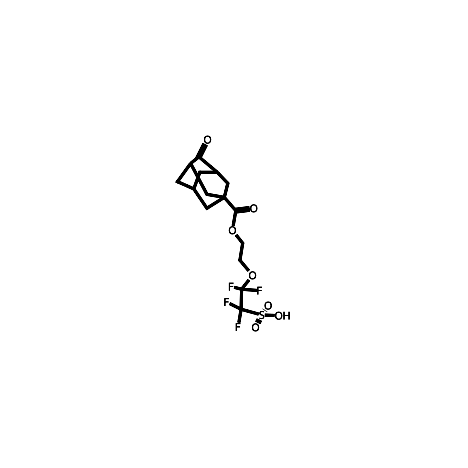 O=C1C2CC3CC1CC(C(=O)OCCOC(F)(F)C(F)(F)S(=O)(=O)O)(C3)C2